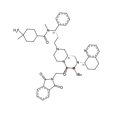 CN(C(=O)C1CCC(C)(P)CC1)[C@@H](CCN1CCN(C(=O)OC(C)(C)C)[C@@H](CN(CCCCN2C(=O)c3ccccc3C2=O)[C@H]2CCCc3cccnc32)C1)c1ccccc1